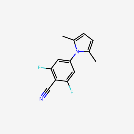 Cc1ccc(C)n1-c1cc(F)c(C#N)c(F)c1